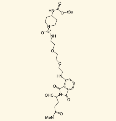 CNC(=O)CCC(C=O)N1C(=O)c2cccc(NCCOCCOCCN[S+]([O-])N3CCC(NC(=O)OC(C)(C)C)CC3)c2C1=O